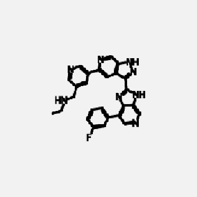 CCNCc1cncc(-c2cc3c(-c4nc5c(-c6cccc(F)c6)cncc5[nH]4)n[nH]c3cn2)c1